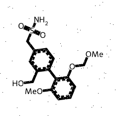 COCOc1cccc(OC)c1-c1ccc(CS(N)(=O)=O)cc1CO